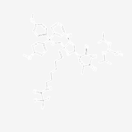 CC(C)OP(N)OC(C)C.COc1ccc(C(OC[C@@]2(C=CCCCCCNC(=O)C(F)(F)F)O[C@@H](n3cc(C)c(=O)[nH]c3=O)C[C@@H]2O)(c2ccccc2)c2ccc(OC)cc2)cc1